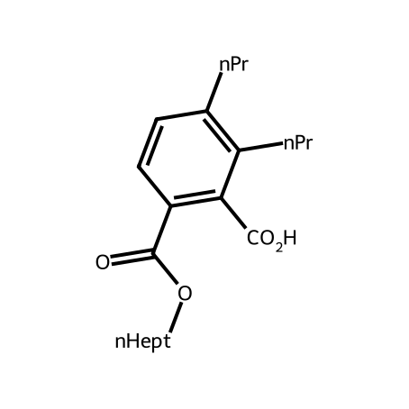 CCCCCCCOC(=O)c1ccc(CCC)c(CCC)c1C(=O)O